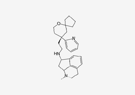 CN1CCc2cccc3c2C1CC3NCC[C@@]1(c2ccccn2)CCOC2(CCCC2)C1